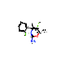 C[C@]1(c2ccccc2F)N=C(N)O[C@@H](C(F)(F)F)[C@@H]1F